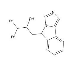 CCC(CC)C(O)CC1c2ccccc2-c2cncn21